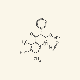 CCCOC(=O)C(C(=O)c1c(C)cc(C)c(C)c1C)c1ccccc1.O=[PH3]